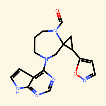 O=CN1CCCN(c2ncnc3[nH]ccc23)CC12CC2c1ccno1